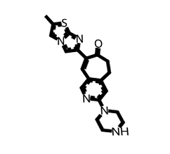 Cc1cn2cc(C3=Cc4cnc(N5CCNCC5)cc4CCC3=O)nc2s1